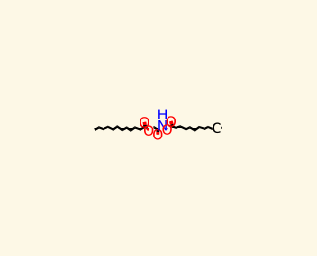 CCCCCCCCCCCC(=O)OCC(=O)NOC(=O)CCCCCCCCCCC